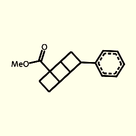 COC(=O)C12C3C4C1C1C2C3C41c1ccccc1